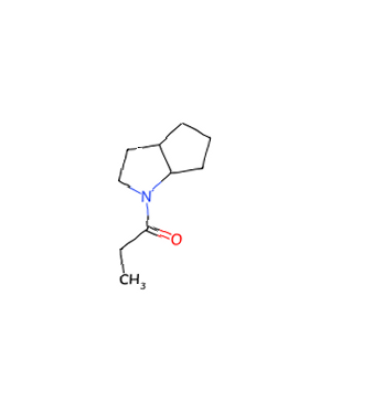 CCC(=O)N1CCC2CCCC21